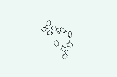 C1=CC(c2nc(-c3ccccc3)nc(-c3cccc(-c4cccc(-c5ccc6c(c5)oc5cc(C7(c8ccccc8)c8ccccc8-c8ccccc87)ccc56)c4)c3)n2)=CCC1